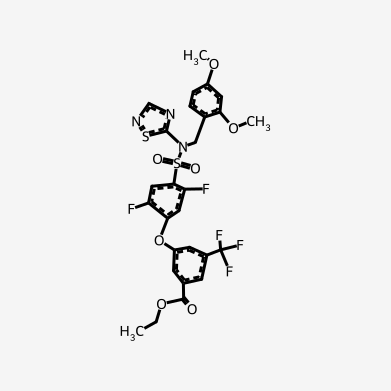 CCOC(=O)c1cc(Oc2cc(F)c(S(=O)(=O)N(Cc3ccc(OC)cc3OC)c3ncns3)cc2F)cc(C(F)(F)F)c1